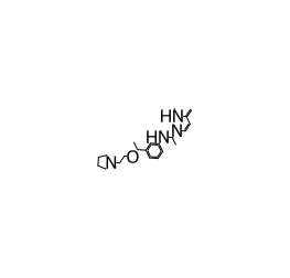 C=C(/C=C\N=C(/C)Nc1cccc(C(C)OCCN2CCCC2)c1)NC